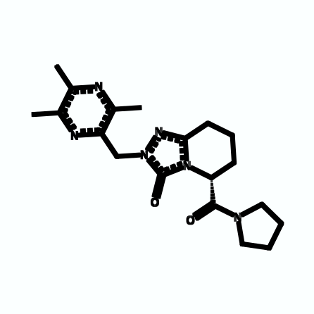 Cc1nc(C)c(Cn2nc3n(c2=O)[C@@H](C(=O)N2CCCC2)CCC3)nc1C